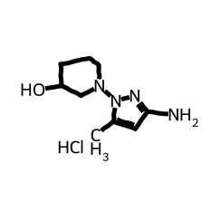 Cc1cc(N)nn1N1CCCC(O)C1.Cl